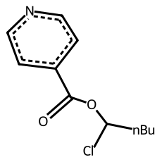 CCCCC(Cl)OC(=O)c1ccncc1